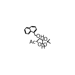 CC(=O)[C@H]1O[C@@H]2OC(C)(C)O[C@@H]2[C@H]1OCc1cccc2ccccc12